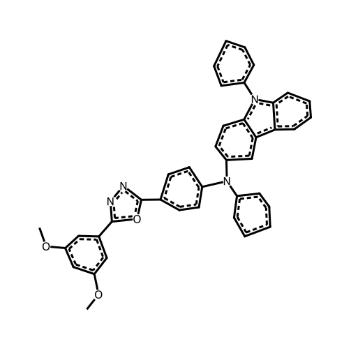 COc1cc(OC)cc(-c2nnc(-c3ccc(N(c4ccccc4)c4ccc5c(c4)c4ccccc4n5-c4ccccc4)cc3)o2)c1